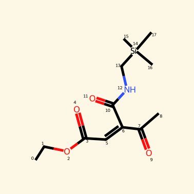 CCOC(=O)C=C(C(C)=O)C(=O)NC[Si](C)(C)C